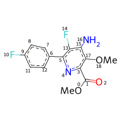 COC(=O)c1nc(-c2ccc(F)cc2)c(F)c(N)c1OC